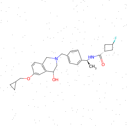 C[C@H](NC(=O)[C@H]1C[C@H](F)C1)c1ccc(CN2Cc3ccc(OCC4CC4)cc3C(O)C2)cc1